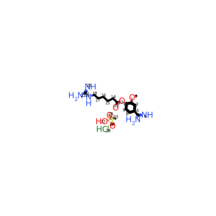 COc1cc(C(=N)N)ccc1OC(=O)CCCCCNC(=N)N.CS(=O)(=O)O.Cl